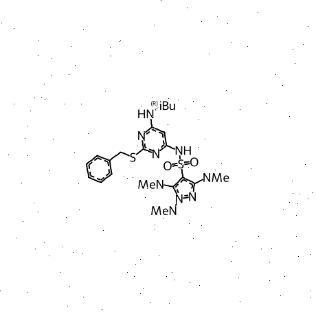 CC[C@@H](C)Nc1cc(NS(=O)(=O)c2c(NC)nn(NC)c2NC)nc(SCc2ccccc2)n1